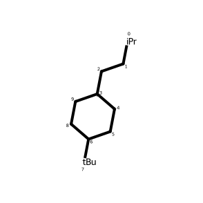 CC(C)CC[C]1CCC(C(C)(C)C)CC1